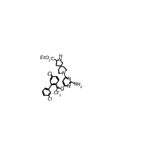 CCOC(=O)C1CC2(CCN(c3cc(O[C@H](c4ccc(Cl)cc4-c4cccc(Cl)c4)C(F)(F)F)nc(N)n3)CC2)CN1